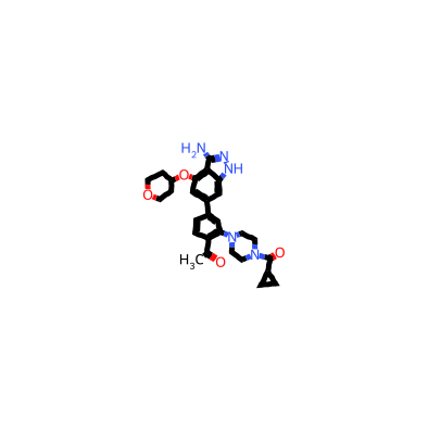 CC(=O)c1ccc(-c2cc(OC3CCOCC3)c3c(N)n[nH]c3c2)cc1N1CCN(C(=O)C2CC2)CC1